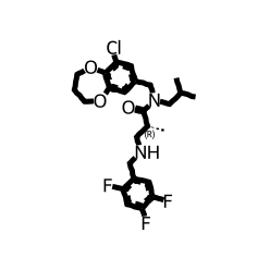 CC(C)CN(Cc1cc(Cl)c2c(c1)OCCCO2)C(=O)[C@H](C)CNCc1cc(F)c(F)cc1F